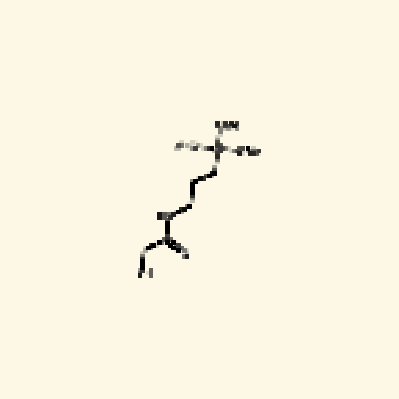 CO[Si](CCCNC(=O)CO)(OC)OC